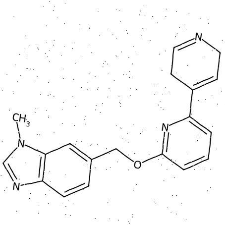 Cn1cnc2ccc(COc3cccc(C4=CCN=CC4)n3)cc21